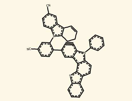 N#Cc1ccc(-c2c#cc3c(c2)c2c4sc5ccccc5c4ccc2n3-c2ccccc2)c(-n2c3c(c4cc(C#N)ccc42)C=CCC3)c1